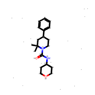 CC1(C)CC(c2ccccc2)CCN1C(=O)NC1CCOCC1